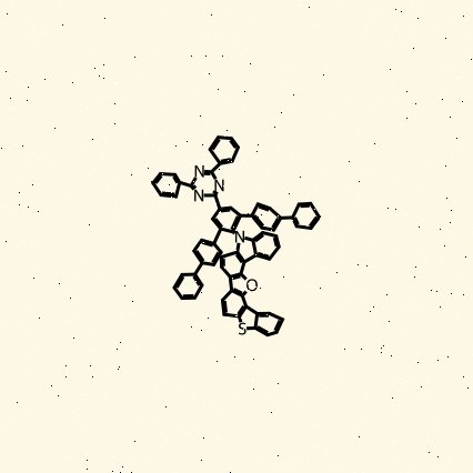 c1ccc(-c2ccc(-c3cc(-c4nc(-c5ccccc5)nc(-c5ccccc5)n4)cc(-c4ccc(-c5ccccc5)cc4)c3-n3c4ccccc4c4c5oc6c(ccc7sc8ccccc8c76)c5ccc43)cc2)cc1